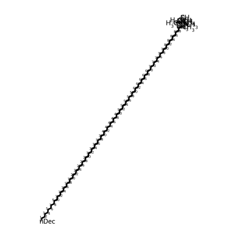 CCCCCCCCCCCCCCCCCCCCCCCCCCCCCCCCCCCCCCCCCCCCCCCCCCCCCCCCCCCCCCCCCCCCCCCCCCCCCCCCCCCCCCCCCCCCCCCCCCC=C[Si]([Si](C)(C)C)([Si](C)(C)C)[Si](C)(C)C